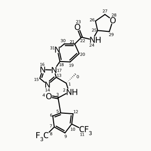 C[C@H](NC(=O)c1cc(C(F)(F)F)cc(C(F)(F)F)c1)c1ncnn1-c1ccc(C(=O)NC2CCOC2)cn1